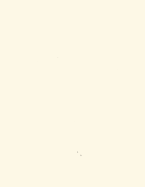 CC(C)c1sncc1-c1cc(F)cc(C(=O)O)c1